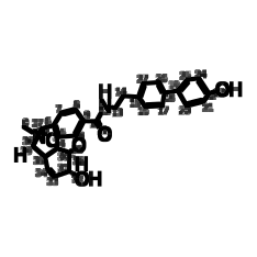 CN1CC[C@]23c4c5ccc(C(=O)NCCc6ccc(-c7ccc(O)cc7)cc6)c4O[C@H]2[C@@H](O)C=CC3[C@H]1C5